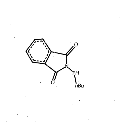 CCCCPN1C(=O)c2ccccc2C1=O